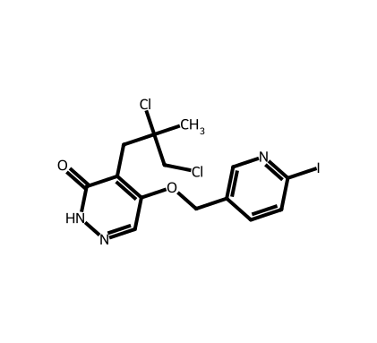 CC(Cl)(CCl)Cc1c(OCc2ccc(I)nc2)cn[nH]c1=O